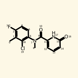 Cc1c(F)ccc(N(C)C(=O)c2cccc(=O)[nH]2)c1Cl